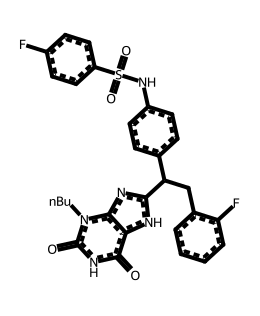 CCCCn1c(=O)[nH]c(=O)c2[nH]c(C(Cc3ccccc3F)c3ccc(NS(=O)(=O)c4ccc(F)cc4)cc3)nc21